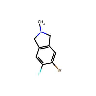 CN1Cc2cc(F)c(Br)cc2C1